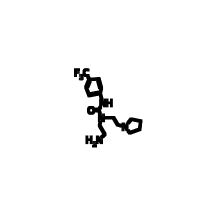 NCCN(CCN1CCCC1)C(=O)Nc1ccc(C(F)(F)F)cc1